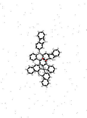 c1ccc(N(c2ccc3c(c2)sc2ccccc23)c2ccc3sc4ccccc4c3c2)c(-c2ccc3c(c2)C2(c4ccccc4-3)c3ccc4ccccc4c3Oc3c2ccc2ccccc32)c1